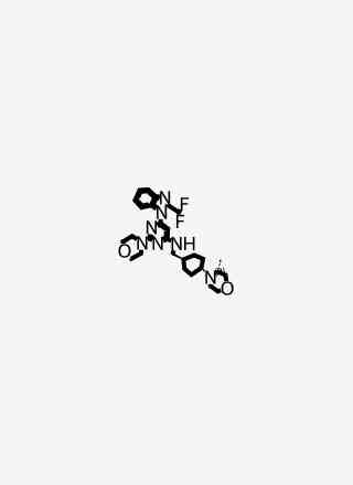 C[C@@H]1COCCN1[C@H]1CC[C@H](CNc2cc(-n3c(C(F)F)nc4ccccc43)nc(N3CCOCC3)n2)CC1